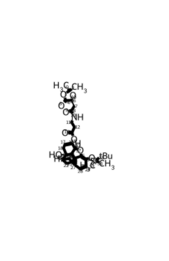 CC1(C)OC(=O)[C@H](CC(=O)NCCC(=O)OC2=CC[C@@]3(O)[C@@H]4CCC[C@@]35c3c(ccc(O[Si](C)(C)C(C)(C)C)c3O[C@@H]25)C4)O1